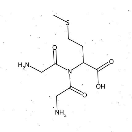 CSCCC(C(=O)O)N(C(=O)CN)C(=O)CN